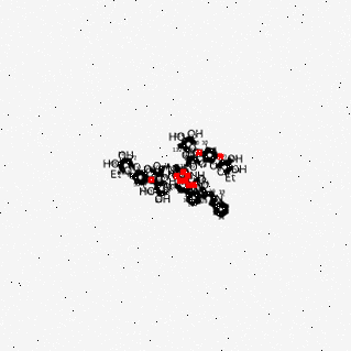 CCC1O[C@H](O[C@H]2C(C)C[C@@H](C)C(O)[C@H]2O[C@@H]2O[C@H](Cn3cc(CC(NC(=O)C(C)Cc4cc5ccccc5n4C)C(=O)NC(Cc4cn(C[C@H]5O[C@@H](O[C@@H]6C(O)[C@H](C)CC(C)[C@@H]6O[C@H]6OC(CC)[C@@H](O)C(O)[C@@H]6C)C(O)[C@H]5O[C@H]5OC[C@@H](O)C(O)C5C)nn4)C(=O)NC(Cc4cn(C)c5ccccc45)C(C)=O)nn3)[C@H](O[C@H]3OC[C@@H](O)C(O)C3C)C2O)[C@@H](C)C(O)[C@@H]1O